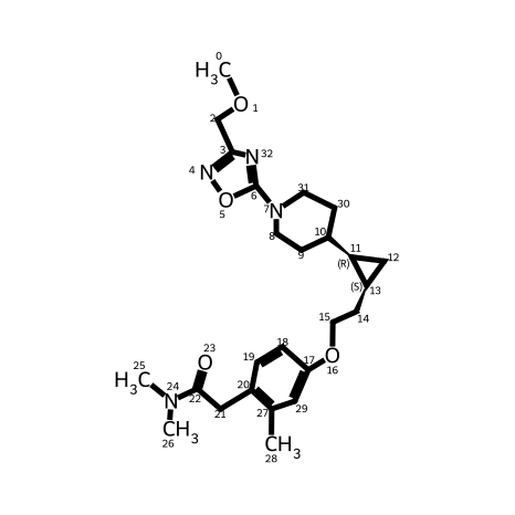 COCc1noc(N2CCC([C@H]3C[C@H]3CCOc3ccc(CC(=O)N(C)C)c(C)c3)CC2)n1